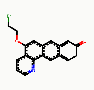 O=C1C=c2cc3cc(OCCBr)c4cccnc4c3cc2=CC1